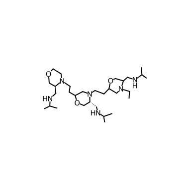 CCN1CC(CCN2CC(CCN3CCOC[C@@H]3CNC(C)C)OC[C@H]2CNC(C)C)OCC1CNC(C)C